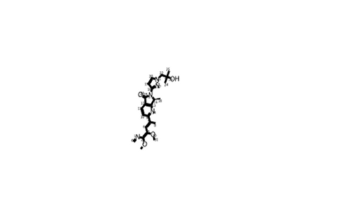 C=N/C(OC)=C(\C=C(/C)c1ccc2c(n1)[C@H](C)N(c1ccn(CC(C)(C)O)n1)C2=O)OC